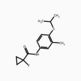 Cc1cc(NC(=O)C2(F)CC2)ccc1SC(C)C